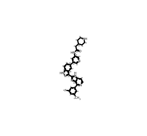 Cc1cc(F)cc(-c2nccc3[nH]c(-c4n[nH]c5ccc(-c6cncc(NC(=O)CC7CCNCC7)c6)cc45)nc23)c1